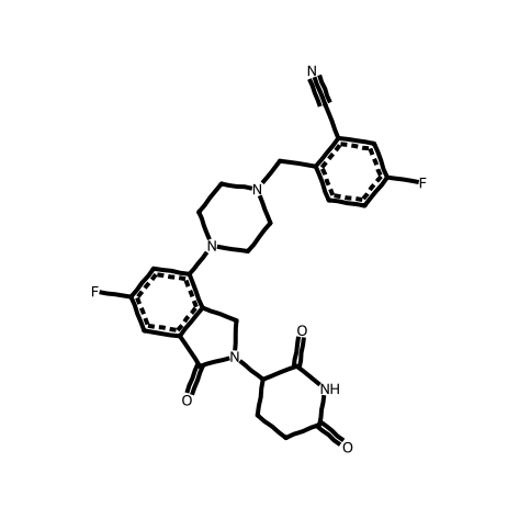 N#Cc1cc(F)ccc1CN1CCN(c2cc(F)cc3c2CN(C2CCC(=O)NC2=O)C3=O)CC1